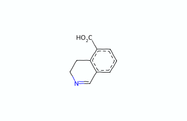 O=C(O)c1cccc2c1CCN=C2